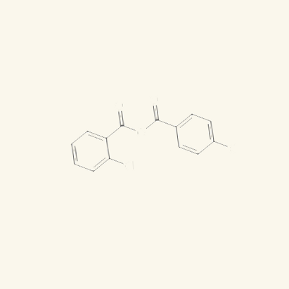 O=C(OC(=O)c1ccccc1Cl)c1ccc(Cl)cc1